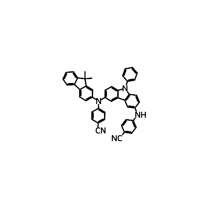 CC1(C)c2ccccc2-c2ccc(N(c3ccc(C#N)cc3)c3ccc4c(c3)c3cc(Nc5ccc(C#N)cc5)ccc3n4-c3ccccc3)cc21